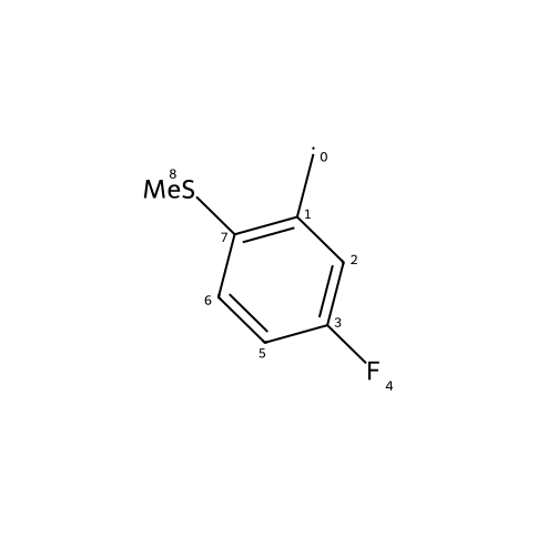 [CH2]c1cc(F)ccc1SC